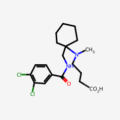 CN(CCCC(=O)O)C1(CNC(=O)c2ccc(Cl)c(Cl)c2)CCCCC1